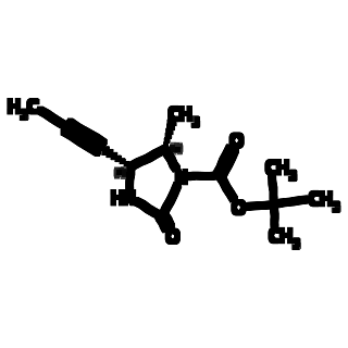 CC#C[C@H]1NC(=O)N(C(=O)OC(C)(C)C)[C@H]1C